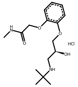 CNC(=O)COc1ccccc1OC[C@@H](O)CNC(C)(C)C.Cl